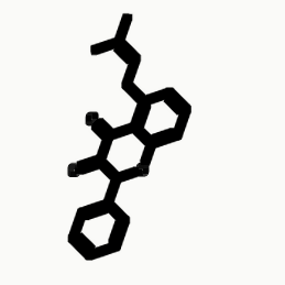 CC(C)=CCc1cccc2c1C(=O)C(=O)C(c1ccccc1)O2